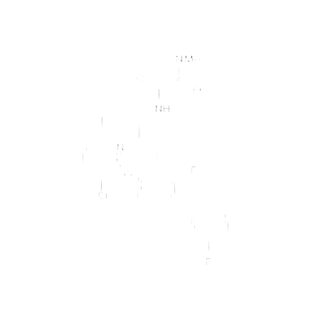 CCc1ccc2n(c1=O)C(Cc1cccc(-c3cccc(F)c3)c1F)C(NC(=O)C(=O)NC)CC2